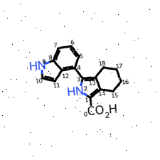 O=C(O)c1[nH]c(-c2cccc3[nH]ccc23)c2c1CCCC2